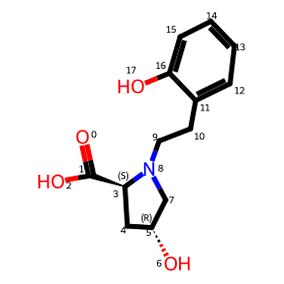 O=C(O)[C@@H]1C[C@@H](O)CN1CCc1ccccc1O